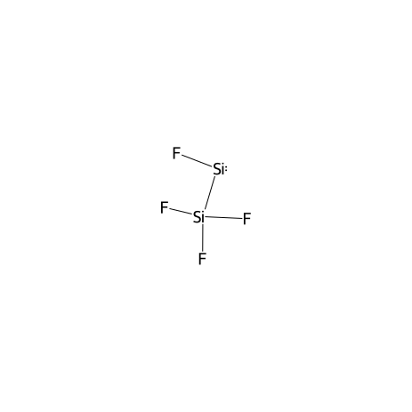 F[Si][Si](F)(F)F